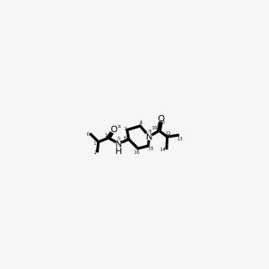 CC(C)C(=O)NC1CCN(C(=O)C(C)C)CC1